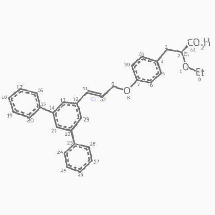 CCO[C@@H](Cc1ccc(OC/C=C/c2cc(-c3ccccc3)cc(-c3ccccc3)c2)cc1)C(=O)O